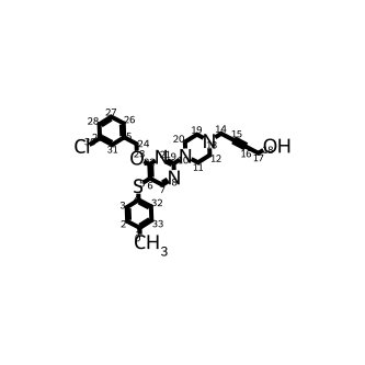 Cc1ccc(Sc2cnc(N3CCN(CC#CCO)CC3)nc2OCc2cccc(Cl)c2)cc1